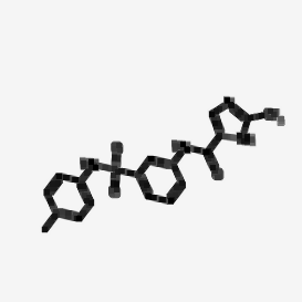 Cc1ccc(NS(=O)(=O)c2cccc(NC(=O)c3cnc(C(F)(F)F)[nH]3)c2)cc1